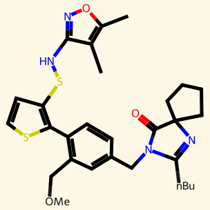 CCCCC1=NC2(CCCC2)C(=O)N1Cc1ccc(-c2sccc2SNc2noc(C)c2C)c(COC)c1